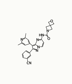 Cc1cc(-c2c(-c3cccc(C#N)c3)nn3ccc(NC(=O)N4CC5(COC5)C4)nc23)cc(C)n1